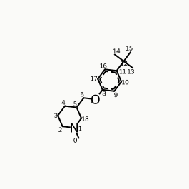 CN1CCCC(COc2ccc(C(C)(C)C)cc2)C1